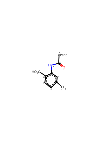 CCCCCC(=O)Nc1cc(C(F)(F)F)ccc1C(=O)O